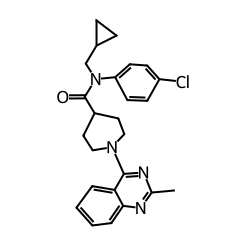 Cc1nc(N2CCC(C(=O)N(CC3CC3)c3ccc(Cl)cc3)CC2)c2ccccc2n1